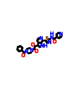 O=C(Nc1ncc(-c2nccc3c(C(=O)C(=O)N4CCN(C(=O)c5ccccc5)CC4)c[nH]c23)s1)c1ccncc1